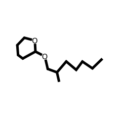 CCCCCC(C)COC1CCCCO1